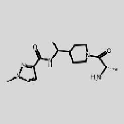 CC(NC(=O)c1ccn(C)n1)C1CCN(C(=O)[C@H](C)N)CC1